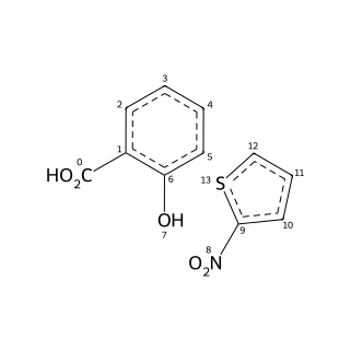 O=C(O)c1ccccc1O.O=[N+]([O-])c1cccs1